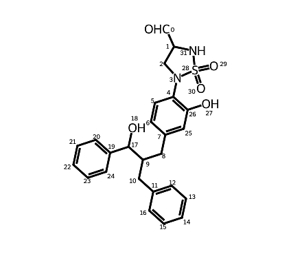 O=CC1CN(c2ccc(CC(Cc3ccccc3)C(O)c3ccccc3)cc2O)S(=O)(=O)N1